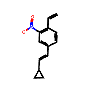 C=Cc1ccc(/C=C/C2CC2)cc1[N+](=O)[O-]